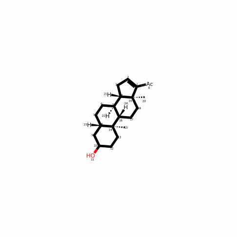 CC(=O)C1=CC[C@H]2[C@@H]3CC[C@H]4CC(O)CC[C@]4(C)[C@H]3CC[C@]12C